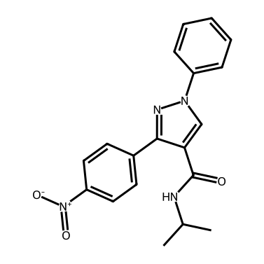 CC(C)NC(=O)c1cn(-c2ccccc2)nc1-c1ccc([N+](=O)[O-])cc1